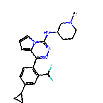 CCN1CCC[C@@H](Nc2nnc(-c3ccc(C4CC4)cc3C(F)F)c3cccn23)C1